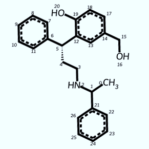 CC(NCC[C@H](c1ccccc1)c1cc(CO)ccc1O)c1ccccc1